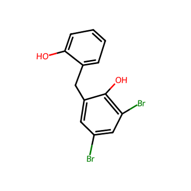 Oc1ccccc1Cc1cc(Br)cc(Br)c1O